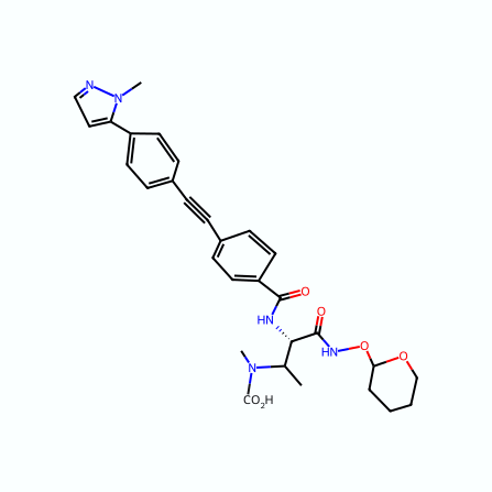 CC([C@H](NC(=O)c1ccc(C#Cc2ccc(-c3ccnn3C)cc2)cc1)C(=O)NOC1CCCCO1)N(C)C(=O)O